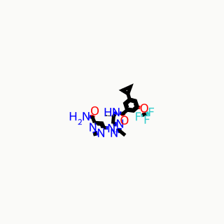 Cc1nc([C@H](C)NC(=O)c2cc(OC(F)(F)F)cc(C3CC3)c2)n(-c2cc(C(N)=O)ncn2)n1